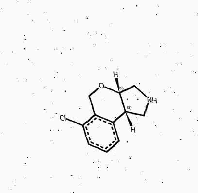 Clc1cccc2c1CO[C@@H]1CNC[C@H]21